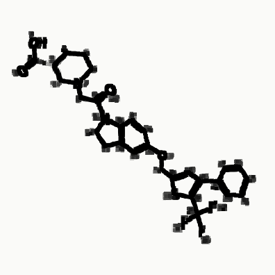 O=C(O)[C@@H]1CCCN(CC(=O)N2CCc3cc(OCc4cc(-c5ccccc5)c(C(F)(F)F)s4)ccc32)C1